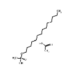 CCCCCCCCCCCCCCOP(C)(=O)O.N=C(N)S